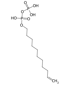 C=CCCCCCCCCCOP(=O)(O)OP(=O)(O)O